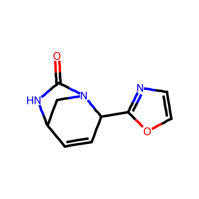 O=C1NC2C=CC(c3ncco3)N1C2